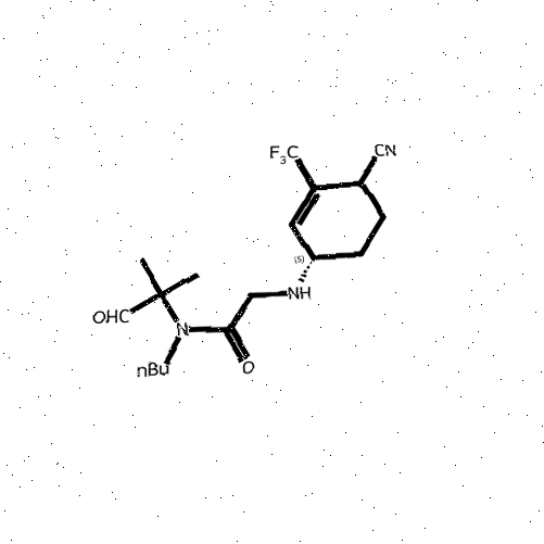 CCCCN(C(=O)CN[C@@H]1C=C(C(F)(F)F)C(C#N)CC1)C(C)(C)C=O